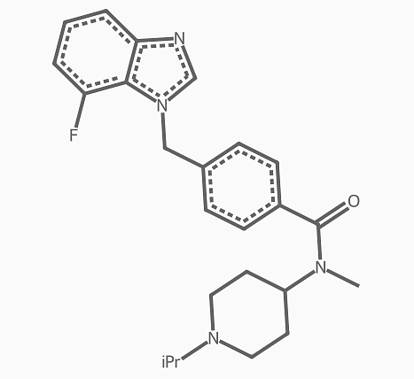 CC(C)N1CCC(N(C)C(=O)c2ccc(Cn3cnc4cccc(F)c43)cc2)CC1